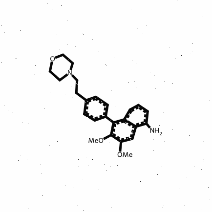 COc1cc2c(N)cccc2c(-c2ccc(CCN3CCOCC3)cc2)c1OC